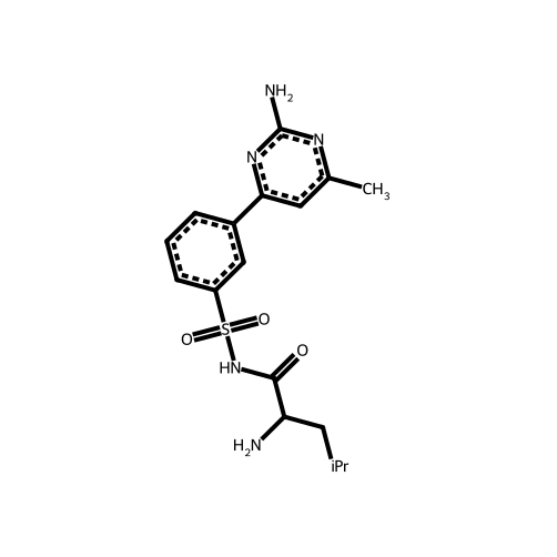 Cc1cc(-c2cccc(S(=O)(=O)NC(=O)C(N)CC(C)C)c2)nc(N)n1